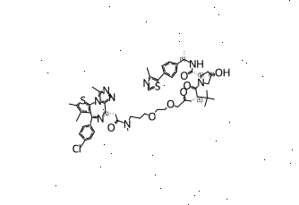 Cc1ncsc1-c1ccc([C@H](C)NC(=O)[C@@H]2C[C@@H](O)CN2C(=O)[C@@H](CC(=O)COCCOCCCN(C)C(=O)C[C@@H]2N=C(c3ccc(Cl)cc3)c3c(sc(C)c3C)-n3c(C)nnc32)C(C)(C)C)cc1